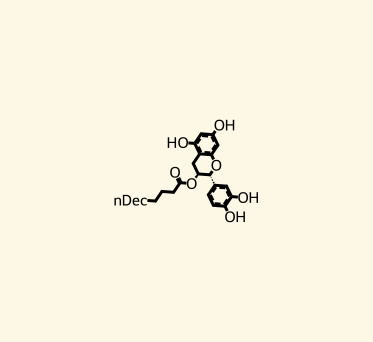 CCCCCCCCCCCCCC(=O)O[C@H]1Cc2c(O)cc(O)cc2O[C@@H]1c1ccc(O)c(O)c1